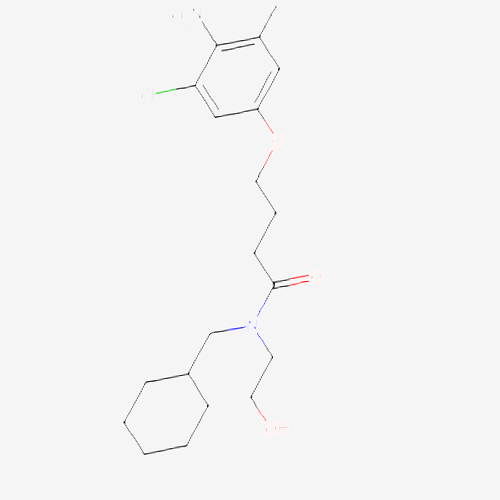 O=Cc1cc(OCCCC(=O)N(CCO)CC2CCCCC2)cc(Cl)c1[N+](=O)[O-]